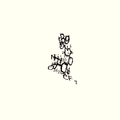 CC(C)(C)OC(=O)N1CCC(Oc2cc(C3(N=[N+]=[N-])COC3)cc(C(F)(F)F)n2)CC1